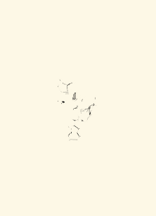 CC1(C)[C@@H]2[C@@H](C(=O)N[C@H](C#N)C[C@@H]3CCNC3=O)N(C(=O)c3cc4cc(F)c(F)cc4[nH]3)C[C@@H]21